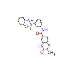 CC1Sc2ccc(C(=O)Nc3cccc(SNc4ccccc4C(F)(F)F)c3)cc2NC1=O